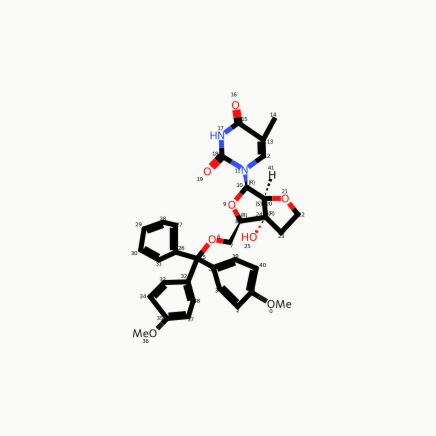 COc1ccc(C(OC[C@H]2O[C@@H](n3cc(C)c(=O)[nH]c3=O)[C@H]3OCC[C@]32O)(c2ccccc2)c2ccc(OC)cc2)cc1